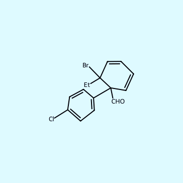 CCC1(Br)C=CC=CC1(C=O)c1ccc(Cl)cc1